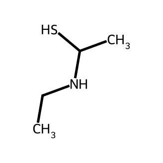 CCNC(C)S